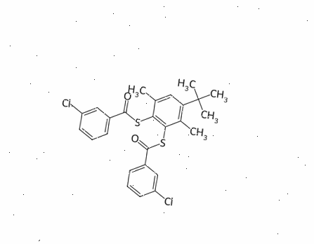 Cc1cc(C(C)(C)C)c(C)c(SC(=O)c2cccc(Cl)c2)c1SC(=O)c1cccc(Cl)c1